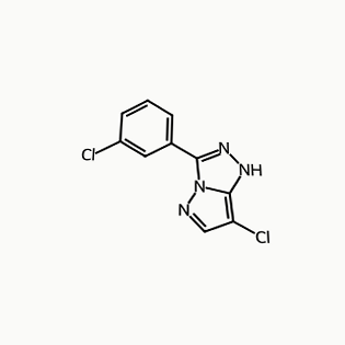 Clc1cccc(-c2n[nH]c3c(Cl)cnn23)c1